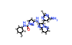 Cc1cccc(NC(=O)n2ccc(Nc3nc4cccnn4c3-c3cc(N)nc(C)n3)n2)c1